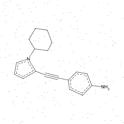 Nc1ccc(C#Cc2cccn2C2CCCCC2)cc1